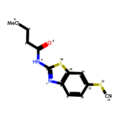 COCCC(=O)Nc1nc2ccc(SC#N)cc2s1